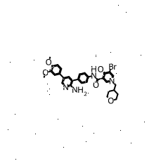 COc1ccc(-c2cnc(N)c(-c3ccc(NC(=O)c4cn(CC5CCOCC5)cc(Br)c4=O)cc3)c2)cc1OC